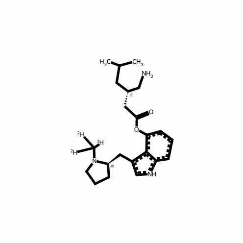 [2H]C([2H])([2H])N1CCC[C@@H]1Cc1c[nH]c2cccc(OC(=O)C[C@@H](CN)CC(C)C)c12